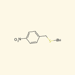 CCC(C)SCc1ccc([N+](=O)[O-])cc1